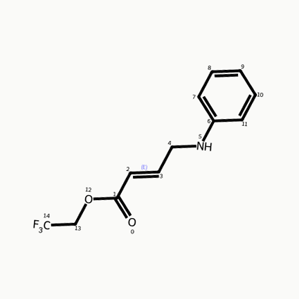 O=C(/C=C/CNc1ccccc1)OCC(F)(F)F